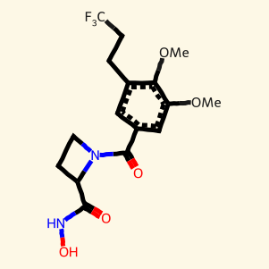 COc1cc(C(=O)N2CCC2C(=O)NO)cc(CCC(F)(F)F)c1OC